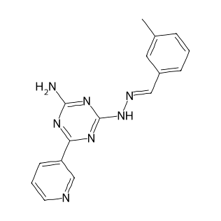 Cc1cccc(C=NNc2nc(N)nc(-c3cccnc3)n2)c1